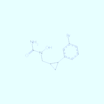 NC(=O)N(O)CC1CC1c1cccc(Br)c1